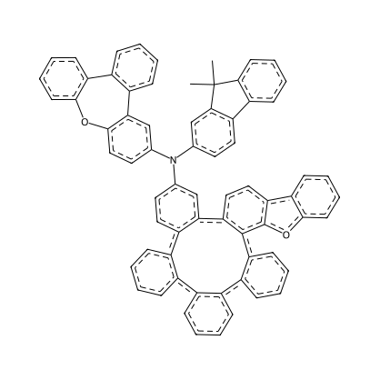 CC1(C)c2ccccc2-c2ccc(N(c3ccc4c(c3)-c3ccccc3-c3ccccc3O4)c3ccc4c5ccccc5c5ccccc5c5ccccc5c5c(ccc6c7ccccc7oc65)c4c3)cc21